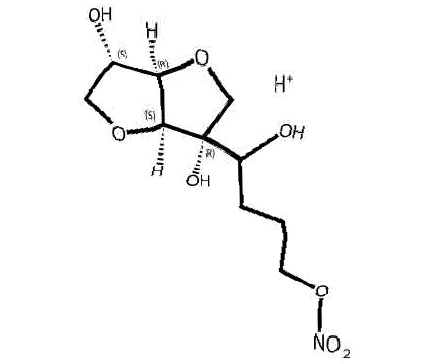 O=[N+]([O-])OCCCC(O)[C@]1(O)CO[C@@H]2[C@@H](O)CO[C@@H]21.[H+]